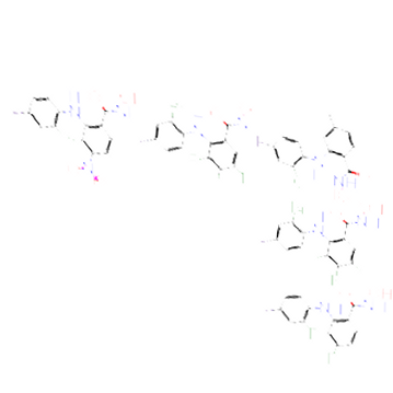 Cc1ccc(C(=O)NO)c(Nc2ccc(I)cc2Cl)c1.O=C(NO)c1cc(Cl)c(F)c(F)c1Nc1ccc(I)cc1Br.O=C(NO)c1cc(F)c(F)c(F)c1Nc1ccc(I)cc1Br.O=C(NO)c1ccc(F)cc1Nc1ccc(I)cc1F.O=C(NO)c1ccc([N+](=O)[O-])cc1Nc1ccc(I)cc1Br